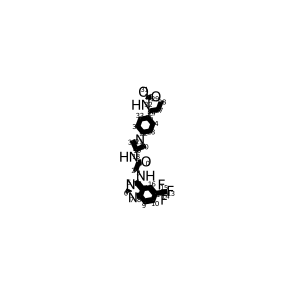 O=C(CNc1ncnc2ccc(C(F)(F)F)cc12)NC1CN(C2CCC([C@H]3CCOC(=O)N3)CC2)C1